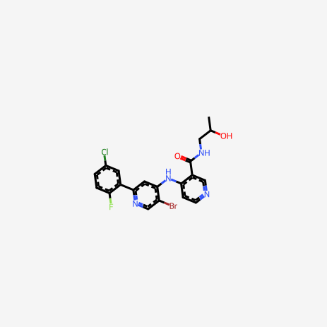 CC(O)CNC(=O)c1cnccc1Nc1cc(-c2cc(Cl)ccc2F)ncc1Br